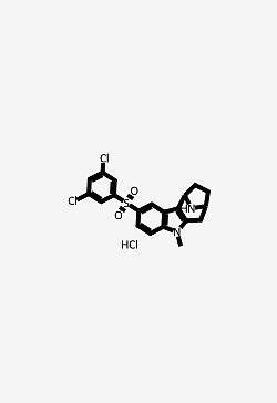 Cl.Cn1c2c(c3cc(S(=O)(=O)c4cc(Cl)cc(Cl)c4)ccc31)C1CCC(C2)N1